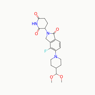 COC(OC)C1CCN(c2ccc3c(c2F)CN(C2CCC(=O)NC2=O)C3=O)CC1